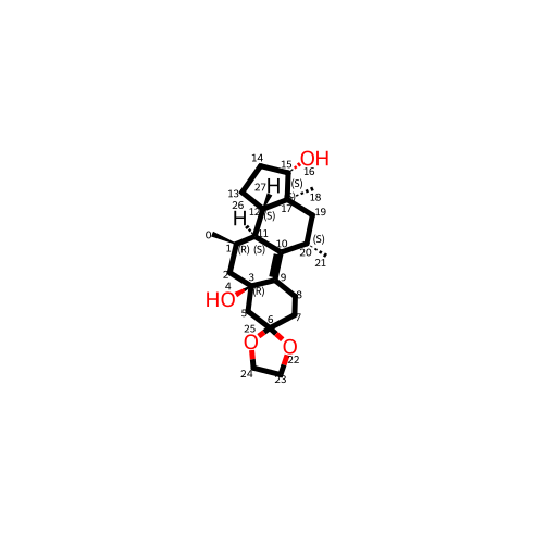 C[C@@H]1C[C@@]2(O)CC3(CCC2=C2[C@@H]1[C@@H]1CC[C@H](O)[C@@]1(C)C[C@@H]2C)OCCO3